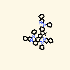 CC1(C)c2cc(N(c3ccccc3)c3cc4ccccc4cn3)ccc2-c2cc3c(N(c4ccccc4)c4cc5ccccc5cn4)c4ccccc4c(N(c4ccccc4)c4cc5ccccc5cn4)c3cc21